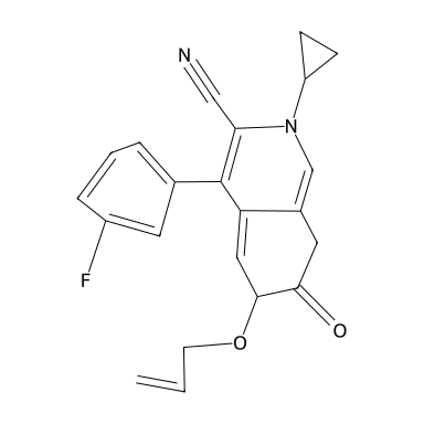 C=CCOC1C=C2C(=CN(C3CC3)C(C#N)=C2c2cccc(F)c2)CC1=O